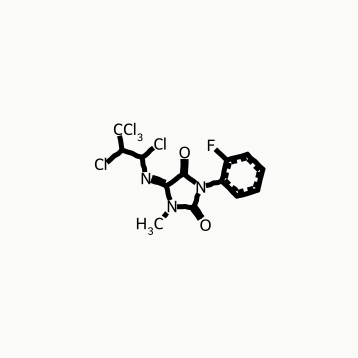 CN1C(=O)N(c2ccccc2F)C(=O)C1=NC(Cl)C(Cl)C(Cl)(Cl)Cl